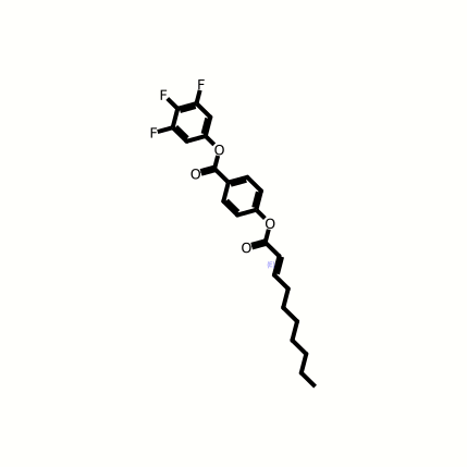 CCCCCCC/C=C/C(=O)Oc1ccc(C(=O)Oc2cc(F)c(F)c(F)c2)cc1